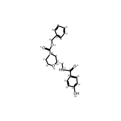 O=C(NC[C@H]1CN(C(=O)OCc2ccccc2)CCO1)c1ccc(O)cc1